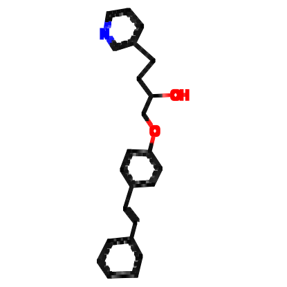 OC(CCc1cccnc1)COc1ccc(/C=C/c2ccccc2)cc1